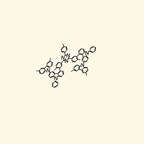 Cc1ccc(-c2nc(-c3ccc(C)c(-c4cccc5c4c4cc(-n6c7ccc(C)cc7c7cc(C)ccc76)ccc4n5-c4ccccc4)c3)nc(-c3ccc(C)c(-c4cccc5c4c4cc(-n6c7ccc(C)cc7c7cc(C)ccc76)ccc4n5-c4ccccc4)c3)n2)cc1